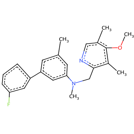 COc1c(C)cnc(CN(C)c2cc(C)cc(-c3cccc(F)c3)c2)c1C